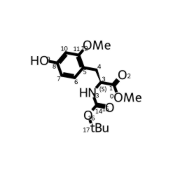 COC(=O)[C@H](Cc1ccc(O)cc1OC)NC(=O)OC(C)(C)C